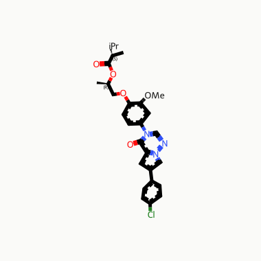 COc1cc(-n2cnn3cc(-c4ccc(Cl)cc4)cc3c2=O)ccc1OC[C@@H](C)OC(=O)[C@@H](C)C(C)C